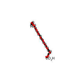 CN(CCSSCCN(C)C(=O)CCOCCOCCOCCOCCOCCOCCOCCOCCOCCOCCOCCOCCNC(=O)CCN1C(=O)C=CC1=O)C(=O)O